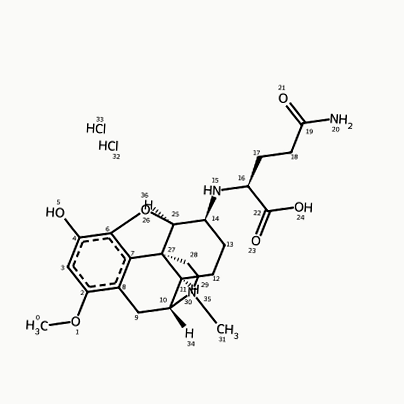 COc1cc(O)c2c3c1C[C@@H]1[C@@H]4CC[C@H](N[C@@H](CCC(N)=O)C(=O)O)[C@H](O2)[C@]34CCN1C.Cl.Cl